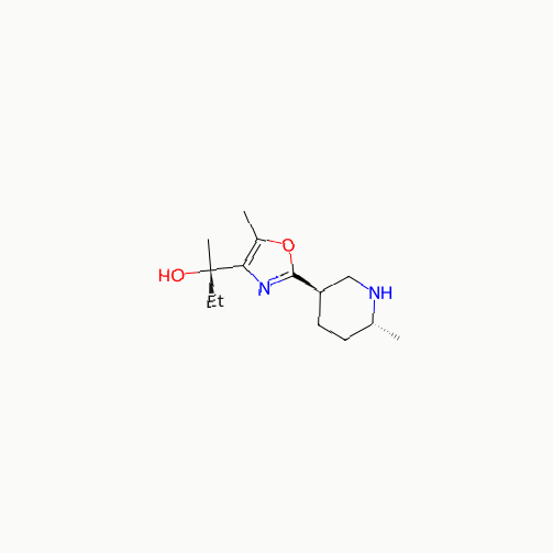 CC[C@](C)(O)c1nc([C@@H]2CC[C@@H](C)NC2)oc1C